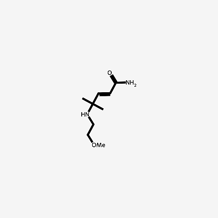 COCCNC(C)(C)C=CC(N)=O